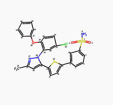 NS(=O)(=O)c1cccc(-c2ccc(-c3cc(C(F)(F)F)nn3-c3cc(Cl)ccc3Oc3ccccc3)s2)c1